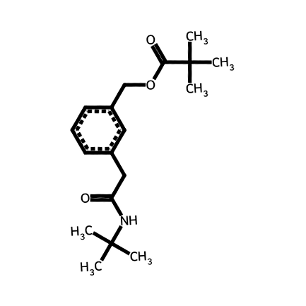 CC(C)(C)NC(=O)Cc1cccc(COC(=O)C(C)(C)C)c1